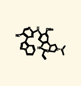 C=CC(=O)Nc1cc(Nc2ncc(C#N)c(-c3cnn4ccccc34)n2)c(OC)cc1N1CC[C@@H](N(C)C)C1